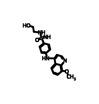 COc1cccc2c(Nc3ccc(S(=N)(=O)NCCO)cc3)ccnc12